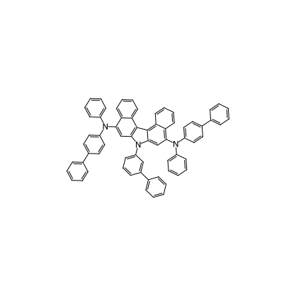 c1ccc(-c2ccc(N(c3ccccc3)c3cc4c(c5ccccc35)c3c5ccccc5c(N(c5ccccc5)c5ccc(-c6ccccc6)cc5)cc3n4-c3cccc(-c4ccccc4)c3)cc2)cc1